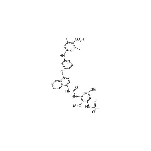 COc1c(NC(=O)Nc2ccc(Oc3ccnc(Nc4cc(C)c(C(=O)O)c(C)c4)c3)c3ccccc23)cc(C(C)(C)C)cc1NS(C)(=O)=O